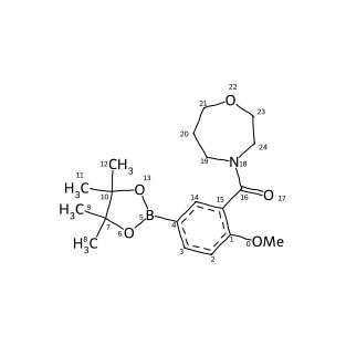 COc1ccc(B2OC(C)(C)C(C)(C)O2)cc1C(=O)N1CCCOCC1